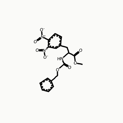 COC(=O)C(Cc1ccc([N+](=O)[O-])c([N+](=O)[O-])c1)NC(=O)OCc1ccccc1